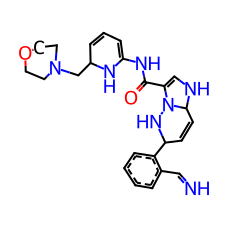 N=Cc1ccccc1C1C=CC2NC=C(C(=O)NC3=CC=CC(CN4CCOCC4)N3)N2N1